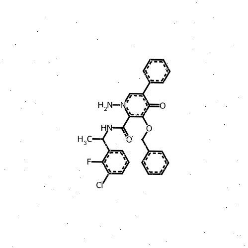 CC(NC(=O)c1c(OCc2ccccc2)c(=O)c(-c2ccccc2)cn1N)c1cccc(Cl)c1F